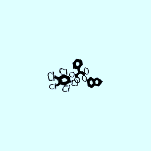 O=C(Oc1ccc2c(c1)CCC2)C(C(=O)Oc1c(Cl)c(Cl)c(Cl)c(Cl)c1Cl)c1ccccc1